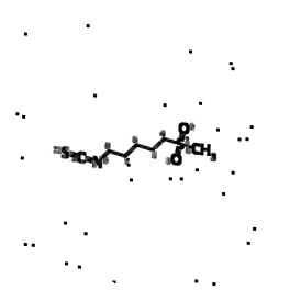 CS(=O)(=O)CCCCCN=C=S